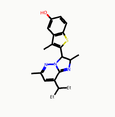 CCC(CC)C1=CC(C)=NN2C1=NC(C)C2c1sc2ccc(O)cc2c1C